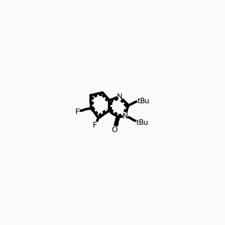 CC(C)(C)c1nc2ccc(F)c(F)c2c(=O)n1C(C)(C)C